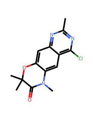 Cc1nc(Cl)c2cc3c(cc2n1)OC(C)(C)C(=O)N3C